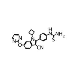 N#Cc1c(-c2ccc(NC(N)=S)cc2)n(C2CCC2)c2cc(Oc3ncccn3)ccc12